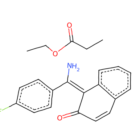 CCOC(=O)CC.NC(=C1C(=O)C=Cc2ccccc21)c1ccc(F)cc1